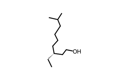 CC[C@@H](CCO)CCCCC(C)C